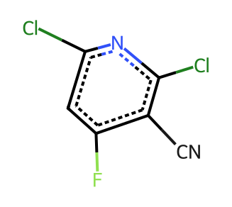 N#Cc1c(F)cc(Cl)nc1Cl